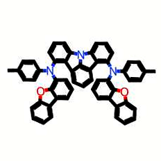 Cc1ccc(N(c2cccc3c2oc2ccccc23)c2cccc3c2c2cccc4c5c(N(c6ccc(C)cc6)c6cccc7c6oc6ccccc67)cccc5n3c24)cc1